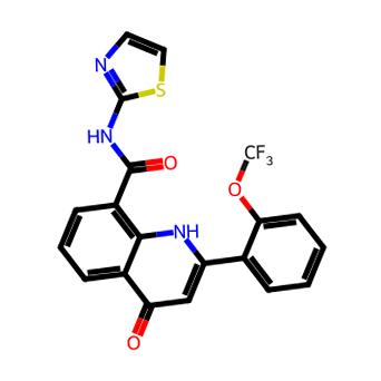 O=C(Nc1nccs1)c1cccc2c(=O)cc(-c3ccccc3OC(F)(F)F)[nH]c12